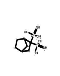 N=P(O)(O)C1(P(=N)(O)O)CC2CCC1C2